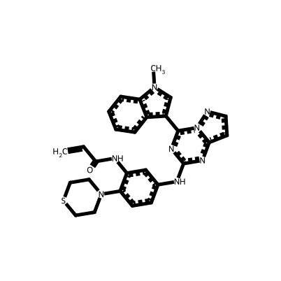 C=CC(=O)Nc1cc(Nc2nc(-c3cn(C)c4ccccc34)n3nccc3n2)ccc1N1CCSCC1